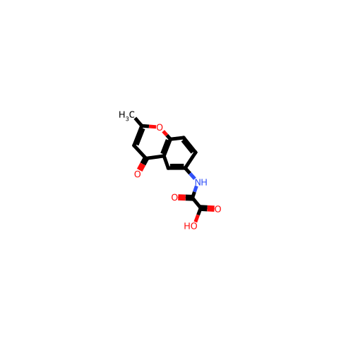 Cc1cc(=O)c2cc(NC(=O)C(=O)O)ccc2o1